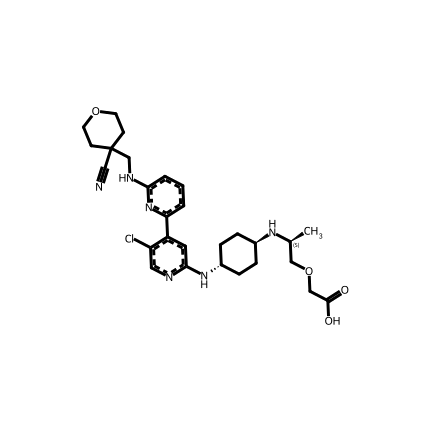 C[C@@H](COCC(=O)O)N[C@H]1CC[C@H](Nc2cc(-c3cccc(NCC4(C#N)CCOCC4)n3)c(Cl)cn2)CC1